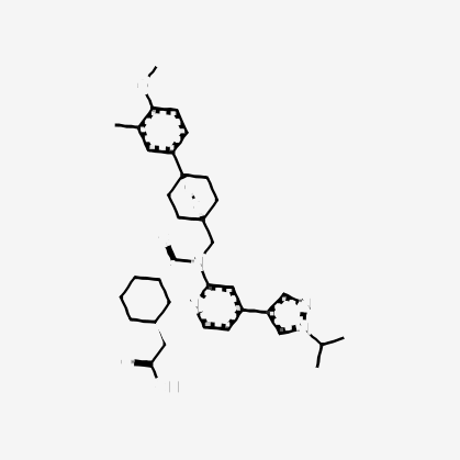 COc1ccc(C23CCC(CN(C(=O)[C@H]4CCC[C@H](CC(=O)O)C4)c4cc(-c5cnn(C(C)C)c5)ccn4)(CC2)CC3)cc1C